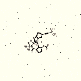 [2H]C([2H])([2H])N1C(=O)c2cccc(OC(F)F)c2[C@H]2C[C@@H]1c1nc3ccc(C#C[C@@H](O)C(F)(F)F)cc3n12